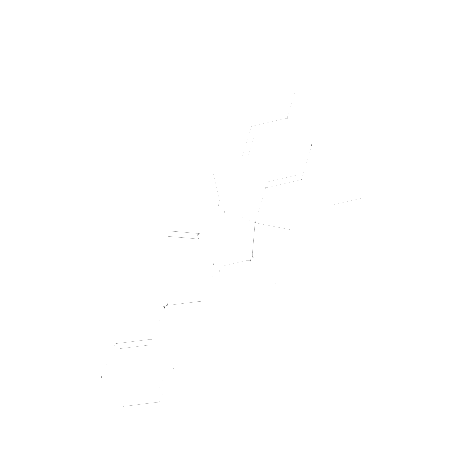 COc1ccc(C2(C)C(=O)N(CC(=O)c3ccccc3)C(=O)N2C)c(OC)c1